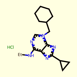 CCNc1ncn(CC2CCCCC2)c2nc(C3CC3)nc1-2.Cl